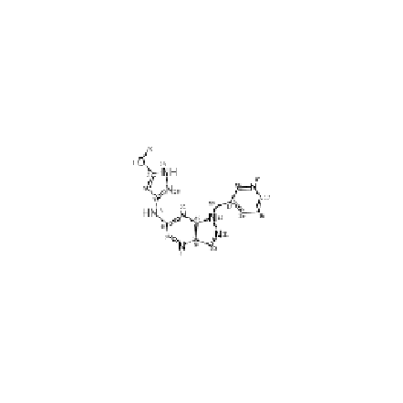 COc1cc(Nc2cnc3cnn(Cc4cccnc4)c3n2)n[nH]1